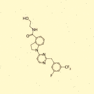 O=C(NCCO)c1cccc2c1CCN2c1ccnc(Cc2cc(F)cc(C(F)(F)F)c2)n1